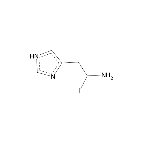 NC(I)Cc1c[nH]cn1